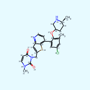 Cc1cc(Cl)cc(-c2ccnc3cc(Cn4c(=O)ccn(C)c4=O)sc23)c1OC1CC[C@H](C)NC1